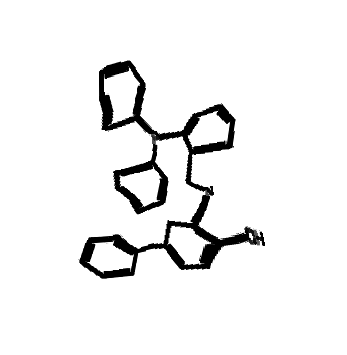 OC1=CC=C(c2ccccc2)CC1=NCc1ccccc1P(c1ccccc1)c1ccccc1